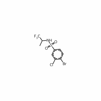 CC(NS(=O)(=O)c1ccc(Br)c(Cl)c1)C(F)(F)F